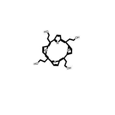 OCCc1c2nc(c(CCO)c3ccc([nH]3)c(CCO)c3nc(c(CCO)c4ccc1[nH]4)C=C3)C=C2